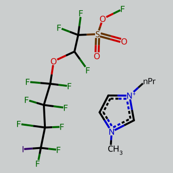 CCC[n+]1ccn(C)c1.O=S(=O)(OF)C(F)(F)C(F)OC(F)(F)C(F)(F)C(F)(F)C(F)(F)I